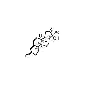 CC(=O)[C@@]1(O)[C@H](C)C[C@H]2[C@@H]3C=CC4=CC(=O)CC[C@]4(C)[C@H]3CC[C@@]21C